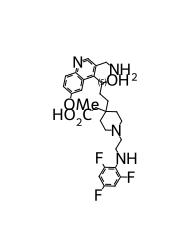 COc1ccc2ncc(CN)c([C@@H](O)CCC3(CC(=O)O)CCN(CCNc4c(F)cc(F)cc4F)CC3)c2c1